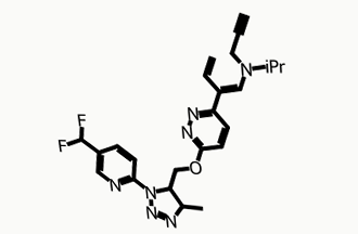 C#CCN(/C=C(\C=C)c1ccc(OCC2C(C)N=NN2c2ccc(C(F)F)cn2)nn1)C(C)C